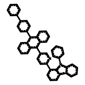 c1ccc(-c2ccc(-c3c4ccccc4c(-c4ccc(-c5cccc6c7ccccc7n(-c7ccccc7)c56)nc4)c4ccccc34)cc2)cc1